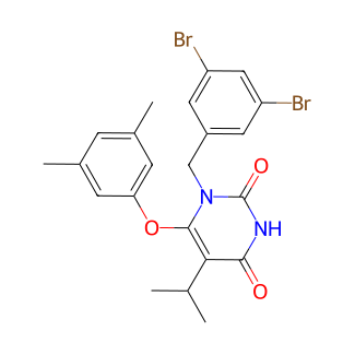 Cc1cc(C)cc(Oc2c(C(C)C)c(=O)[nH]c(=O)n2Cc2cc(Br)cc(Br)c2)c1